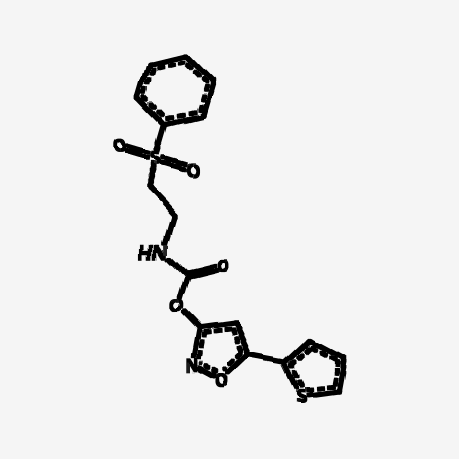 O=C(NCCS(=O)(=O)c1ccccc1)Oc1cc(-c2cccs2)on1